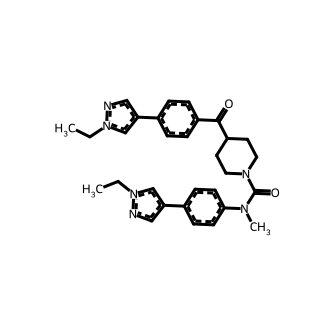 CCn1cc(-c2ccc(C(=O)C3CCN(C(=O)N(C)c4ccc(-c5cnn(CC)c5)cc4)CC3)cc2)cn1